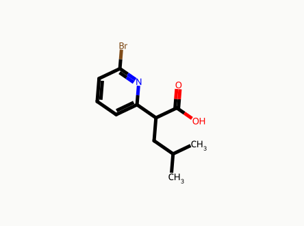 CC(C)CC(C(=O)O)c1cccc(Br)n1